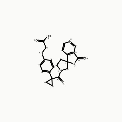 O=C(O)COc1ccc(C2(C(=O)N3CCC4(C3)OC(=O)c3cnccc34)CC2)cc1